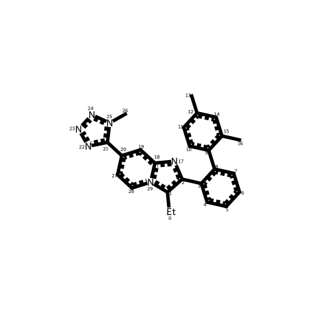 CCc1c(-c2ccccc2-c2ccc(C)cc2C)nc2cc(-c3nnnn3C)ccn12